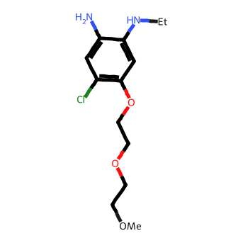 CCNc1cc(OCCOCCOC)c(Cl)cc1N